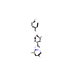 COc1cc(-c2cn3cc(C)cc(Br)c3n2)ccc1OCc1ccc(C#N)cc1